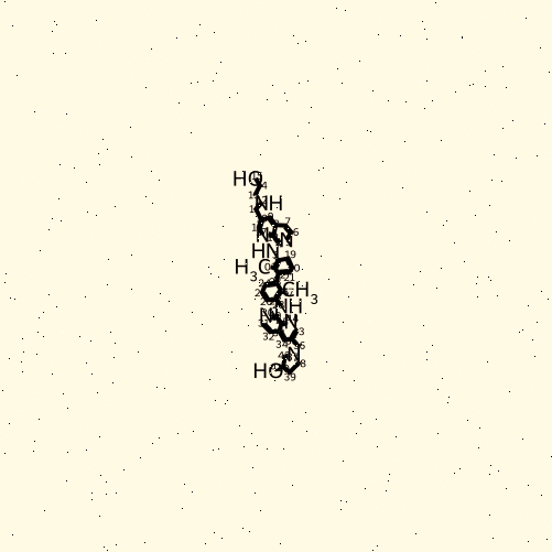 Cc1c(Nc2nccc3cc(CNCCO)cnc23)cccc1-c1cccc(Nc2nccc3cc(CN4CC[C@@H](O)C4)cnc23)c1C